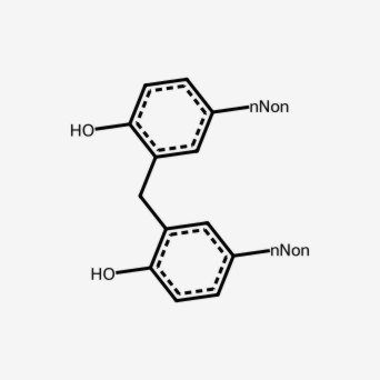 CCCCCCCCCc1ccc(O)c(Cc2cc(CCCCCCCCC)ccc2O)c1